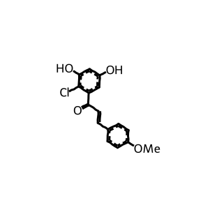 COc1ccc(/C=C/C(=O)c2cc(O)cc(O)c2Cl)cc1